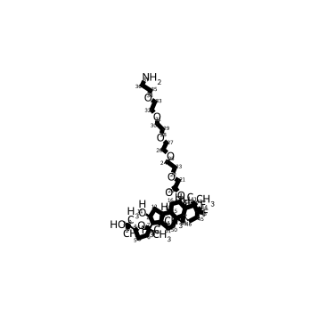 CC(C)(O)[C@@H]1CC[C@@](C)([C@H]2[C@@H](O)C[C@@]3(C)[C@@H]4C[C@H](OC(=O)COCCOCCOCCOCCOCCN)[C@H]5C(C)(C)C(F)(F)CC[C@@]56C[C@@]46CC[C@]23C)O1